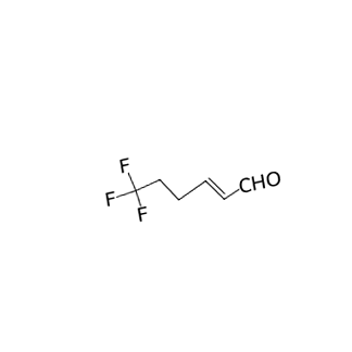 O=C/C=C/CCC(F)(F)F